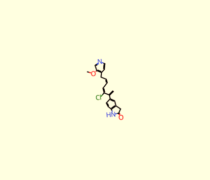 C=C(/C(Cl)=C\C=C/Cc1ccncc1OC)c1ccc2c(c1)CC(=O)N2